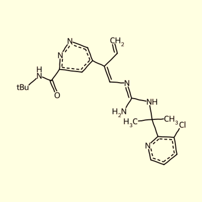 C=C/C(=C\N=C(/N)NC(C)(C)c1ncccc1Cl)c1cnnc(C(=O)NC(C)(C)C)c1